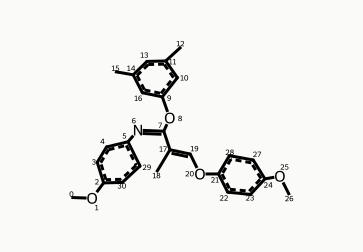 COc1ccc(/N=C(Oc2cc(C)cc(C)c2)\C(C)=C\Oc2ccc(OC)cc2)cc1